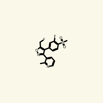 Cc1ncccc1-c1noc(CF)c1-c1ccc(S(C)(=O)=O)c(F)c1